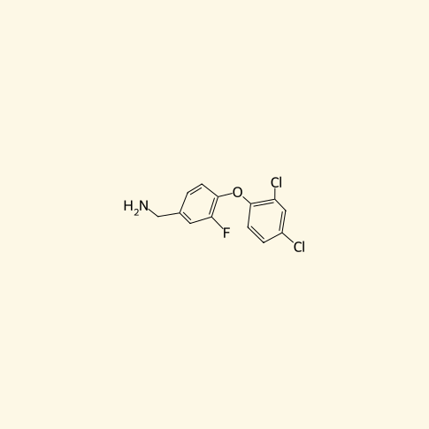 NCc1ccc(Oc2ccc(Cl)cc2Cl)c(F)c1